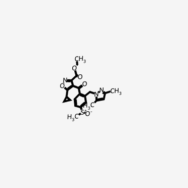 CCOC(=O)c1noc(C2CC2)c1C(=O)c1ccc([S+](C)[O-])cc1Cn1nc(C)cc1C